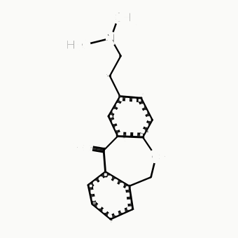 CN(C)CCc1ccc2c(c1)C(=O)c1ccccc1CO2